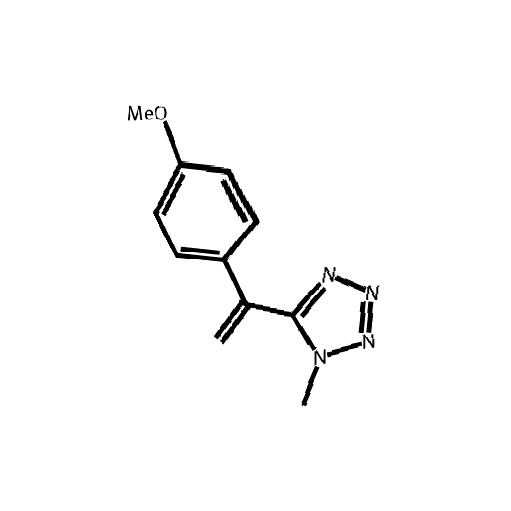 C=C(c1ccc(OC)cc1)c1nnnn1C